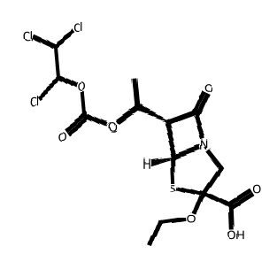 CCOC1(C(=O)O)CN2C(=O)[C@H](C(C)OC(=O)OC(Cl)C(Cl)Cl)[C@H]2S1